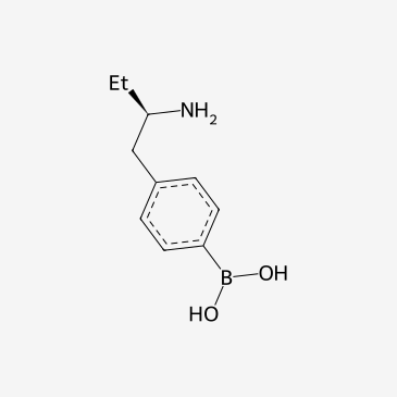 CC[C@@H](N)Cc1ccc(B(O)O)cc1